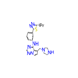 CC(C)c1nnc(-c2cccc(Nc3ncnn4ccc(CN5CCNCC5)c34)c2)s1